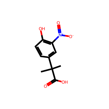 CC(C)(C(=O)O)c1ccc(O)c([N+](=O)[O-])c1